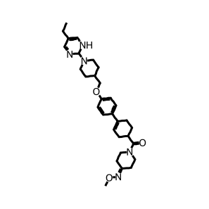 CCC1=CNC(N2CCC(COc3ccc(C4=CCC(C(=O)N5CCC(=NOC)CC5)CC4)cc3)CC2)N=C1